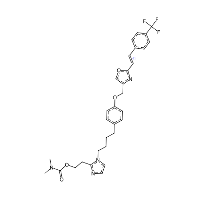 CN(C)C(=O)OCCc1nccn1CCCCc1ccc(OCc2coc(/C=C/c3ccc(C(F)(F)F)cc3)n2)cc1